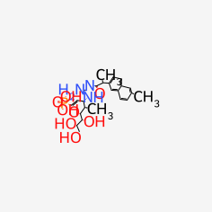 Cc1ccc2cc([C@H](C)C(=O)/N=C(/N)N[C@H]3C=C(P(=O)(O)O)O[C@@H]([C@H](O)[C@H](O)CO)[C@@H]3C)ccc2c1